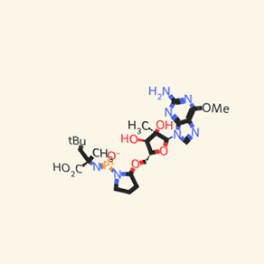 COc1nc(N)nc2c1ncn2[C@@H]1O[C@H](COC2CCCN2/[P+]([O-])=N/[C@@](C)(CC(C)(C)C)C(=O)O)[C@@H](O)[C@@]1(C)O